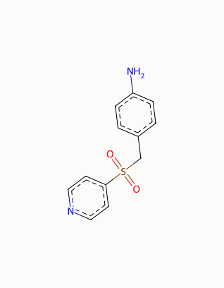 Nc1ccc(CS(=O)(=O)c2ccncc2)cc1